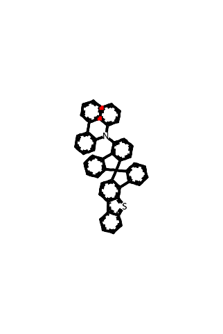 c1ccc(-c2ccccc2N(c2ccccc2)c2cccc3c2-c2ccccc2C32c3ccccc3-c3c2ccc2c3sc3ccccc32)cc1